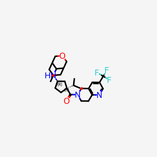 CC1CC2COCC(C1)C2N[C@@H]1CC[C@@](C(=O)N2CCc3ncc(C(F)(F)F)cc3C2)(C(C)C)C1